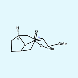 COC/C=C1\CC2CC[C@@H](C1)N2C(=O)OC(C)(C)C